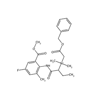 CCC(C(=O)Nc1c(C)cc(F)cc1C(=O)OC)[N+](C)(C)CC(=O)OCc1ccccc1